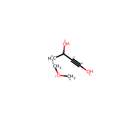 CC(O)C#CO.COC